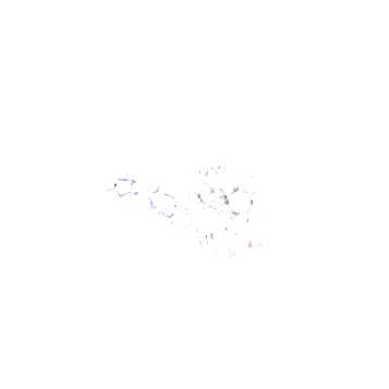 CCOc1cc2c(cc1OC)C(c1ccc(-n3cccn3)nc1)N[C@@H]1CC[C@@H](O)C[C@]21c1cc(C)ccc1S(=O)(=O)O